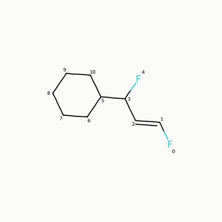 FC=CC(F)C1CCCCC1